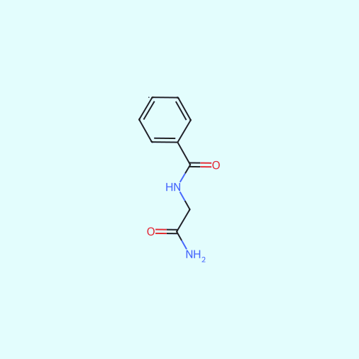 NC(=O)CNC(=O)c1cc[c]cc1